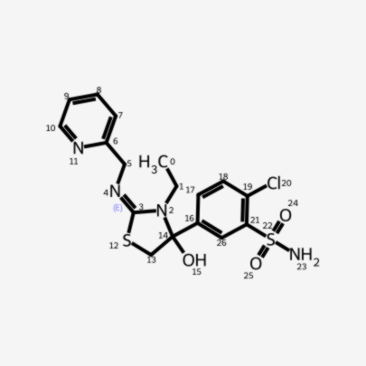 CCN1/C(=N\Cc2ccccn2)SCC1(O)c1ccc(Cl)c(S(N)(=O)=O)c1